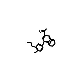 CCCc1cc(-c2cc(C(C)=O)cc3c2C2CCC3CC2)ccc1C